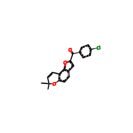 CC1(C)C=Cc2c(ccc3cc(C(=O)c4ccc(Cl)cc4)oc23)O1